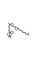 CC(CCCC(=O)OC(C)(C)C)OCCOCCCCCCI